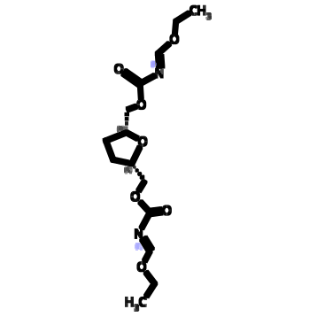 CCO/C=N/C(=O)OC[C@H]1CC[C@@H](COC(=O)/N=C/OCC)O1